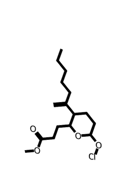 C=C(CCCCC)C1CCC(OCl)OC1CCC(=O)OC